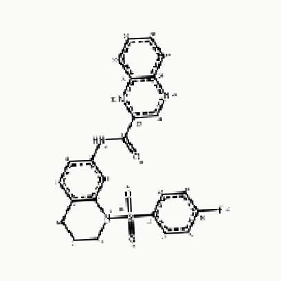 O=C(Nc1ccc2c(c1)N(S(=O)(=O)c1ccc(F)cc1)CCC2)c1cnc2ccccc2n1